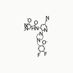 COc1cc(F)c(F)cc1CN1CCN(c2ncc(C#N)cc2NC(=O)c2cn(C)nc2OC)CC1